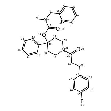 CN(Cc1ccccn1)C(=O)OC1(c2ccccc2)CCN(C(=O)CCc2ccc(F)cc2)CC1